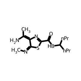 CCCC(BC(=O)C1=NC(=C(\C)N)/C(=N\C)S1)CCC